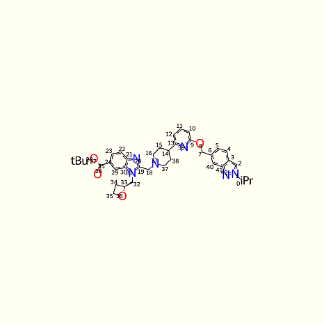 CC(C)n1cc2ccc(COc3cccc(C4CCN(Cc5nc6ccc(C(=O)OC(C)(C)C)cc6n5C[C@@H]5CCO5)CC4)n3)cc2n1